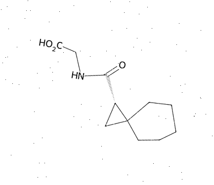 O=C(O)CNC(=O)[C@H]1CC12CCCCC2